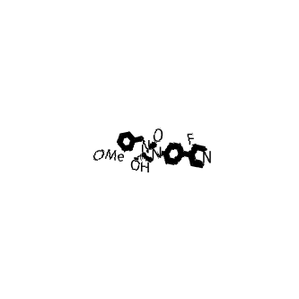 COc1cccc(CN2C(=O)N(c3ccc(-c4ccncc4F)cc3)C[C@@H]2CO)c1